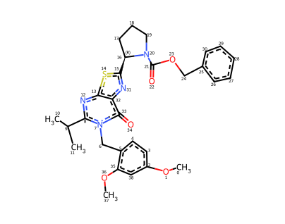 COc1ccc(Cn2c(C(C)C)nc3sc([C@H]4CCCN4C(=O)OCc4ccccc4)nc3c2=O)c(OC)c1